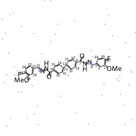 COc1cc(/C=N/NC(=O)c2ccc(-c3ccc(C(=O)N/N=C/c4ccc(F)c(OC)c4)cc3)cc2)ccc1F